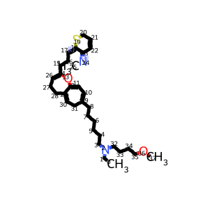 CCN(CCCCCCC1=CC=C2OC(CC/C=C3/SCC=C/C3=N/C)=CCCC2=CC1)CCCCOC